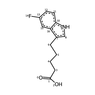 O=C(O)CCCCc1c[nH]c2ccc(F)cc12